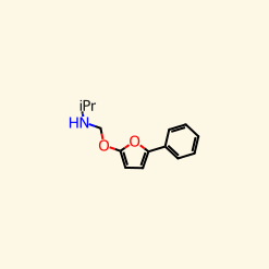 CC(C)NCOc1ccc(-c2ccccc2)o1